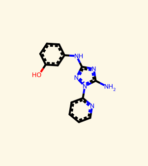 Nc1nc(Nc2cccc(O)c2)nn1-c1ccccn1